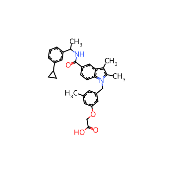 Cc1cc(Cn2c(C)c(C)c3cc(C(=O)NC(C)c4cccc(C5CC5)c4)ccc32)cc(OCC(=O)O)c1